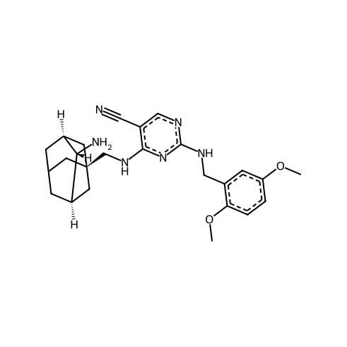 COc1ccc(OC)c(CNc2ncc(C#N)c(NC[C@]34CC5C[C@H](C3)[C@@H](N)[C@@H](C5)C4)n2)c1